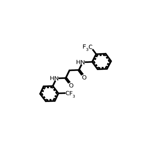 O=C(CC(=O)Nc1ccccc1C(F)(F)F)Nc1ccccc1C(F)(F)F